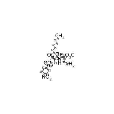 C=CCCCCCCC(=O)N1C[C@@H](OC(=O)c2ccc([N+](=O)[O-])cc2)C[C@H]1C(=O)N[C@]1(C(=O)OCC)C[C@H]1C=C